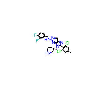 Cc1cc(Cl)c(-c2nc3cnc(NCc4ccc(F)c(F)c4)nc3n2CC2CCCNC2)c(Cl)c1